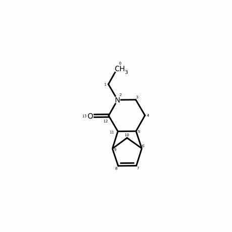 CCN1CCC2C3C=CC(C3)C2C1=O